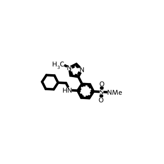 CNS(=O)(=O)c1ccc(NCC2CCCCC2)c(-c2cn(C)cn2)c1